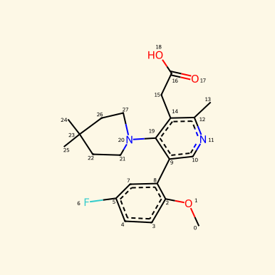 COc1ccc(F)cc1-c1cnc(C)c(CC(=O)O)c1N1CCC(C)(C)CC1